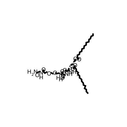 CCCCCCCCCCCCCCCC(=O)OCC[C@@H](CSC[C@H](N)C(=O)N[C@@H](CO)C(=O)NCCOCCOCCC(=O)NCC(N)=O)OC(=O)CCCCCCCCCCCCCCC